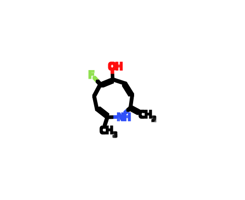 C=C1/C=C\C(O)=C(\F)C/C=C(/C)N1